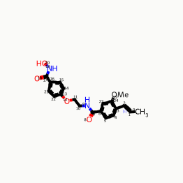 C/C=C/c1ccc(C(=O)NCCOc2ccc(C(=O)NO)cc2)cc1OC